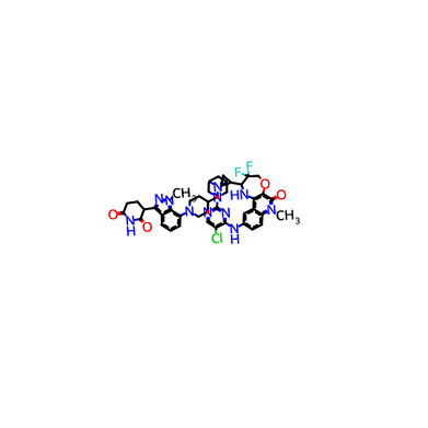 Cn1nc(C2CCC(=O)NC2=O)c2cccc(N3CCC(CN4C5CC4CN(c4ncc(Cl)c(Nc6ccc7c(c6)c6c(c(=O)n7C)OCC(F)(F)C(C7CC7)N6)n4)C5)CC3)c21